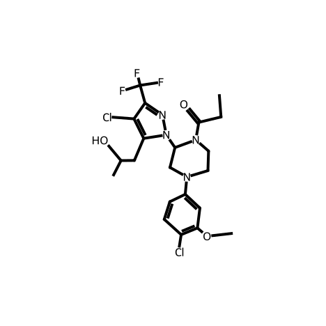 CCC(=O)N1CCN(c2ccc(Cl)c(OC)c2)CC1n1nc(C(F)(F)F)c(Cl)c1CC(C)O